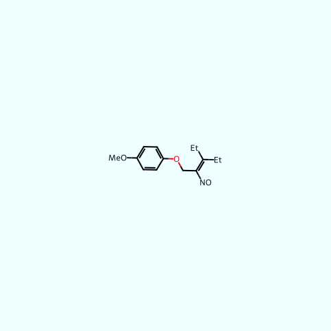 CCC(CC)=C(COc1ccc(OC)cc1)N=O